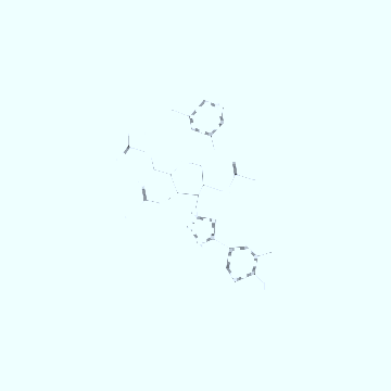 CC(=O)OCC1O[C@H](Sc2cncc(Cl)c2)C(OC(C)=O)C(n2cc(-c3ccc(F)c(F)c3)nn2)[C@H]1OC(C)=O